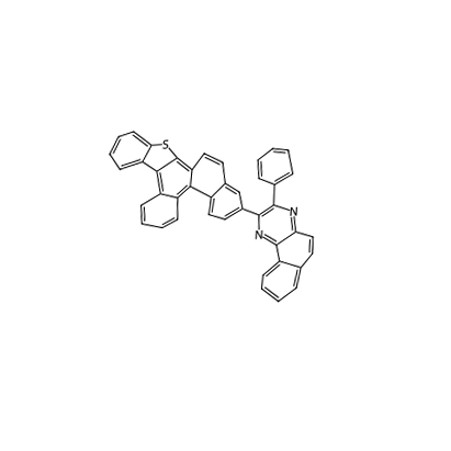 c1ccc(-c2nc3ccc4ccccc4c3nc2-c2ccc3c(ccc4c5sc6ccccc6c5c5ccccc5c34)c2)cc1